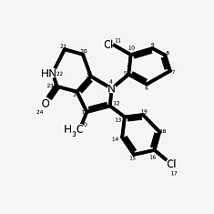 Cc1c2c(n(-c3ccccc3Cl)c1-c1ccc(Cl)cc1)CCNC2=O